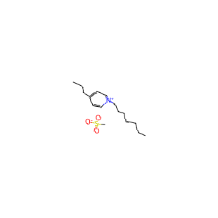 CCCCCCC[n+]1ccc(CCC)cc1.CS(=O)(=O)[O-]